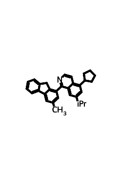 Cc1cc2c(c(-c3nccc4c(C5CCCC5)cc(C(C)C)cc34)c1)Cc1ccccc1-2